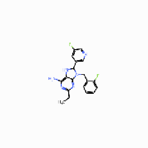 CCc1nc(N)c2c(n1)N(Cc1ccccc1F)C(c1cncc(F)c1)N2